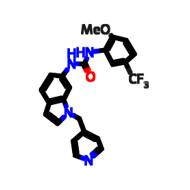 COc1ccc(C(F)(F)F)cc1NC(=O)Nc1ccc2ccn(Cc3ccncc3)c2c1